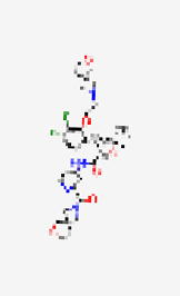 C[C@H]1[C@@H](c2ccc(F)c(F)c2OCCN2CC3(CCOC3)C2)[C@H](C(=O)Nc2ccnc(C(=O)N3CC4(CCOC4)C3)c2)O[C@@]1(C)C(F)(F)F